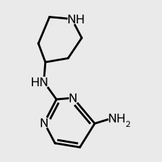 Nc1ccnc(NC2CCNCC2)n1